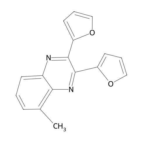 Cc1cccc2nc(-c3ccco3)c(-c3ccco3)nc12